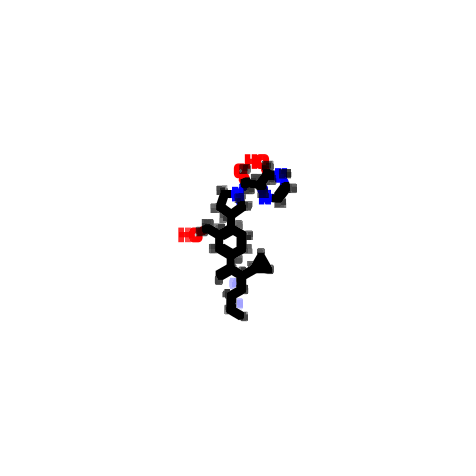 C=C(/C(=C\C=C/C)C1CC1)c1ccc(C2CCN(C(=O)c3nccnc3O)C2)c(CO)c1